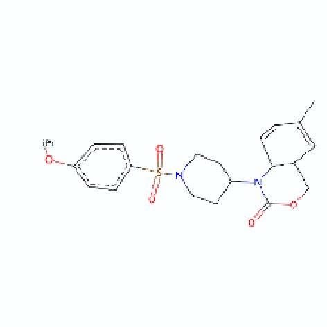 CC1=CC2COC(=O)N(C3CCN(S(=O)(=O)c4ccc(OC(C)C)cc4)CC3)C2C=C1